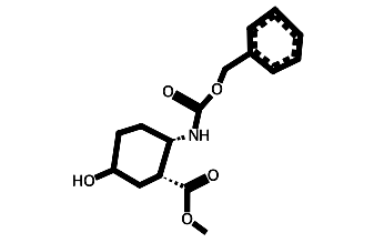 COC(=O)[C@@H]1CC(O)CC[C@@H]1NC(=O)OCc1ccccc1